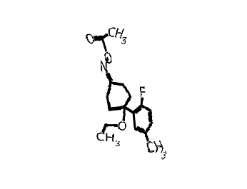 CCOC1(c2cc(C)ccc2F)CCC(=NOC(C)=O)CC1